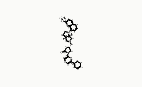 COc1ccc2nccc(N3CC[C@H]4CN(C[C@@H]5CN(C6=COC=C(C7=CC=CCC7)O6)C(=O)O5)C[C@H]43)c2n1